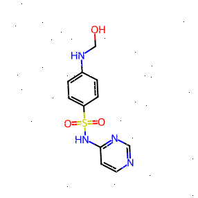 O=S(=O)(Nc1ccncn1)c1ccc(NCO)cc1